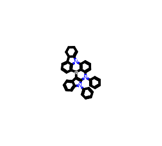 C1=C2C(CCC1)c1cccc3c1N2c1cccc2c1B3c1c(n(-c3ccccc3)c3ccccc13)N2c1ccccc1